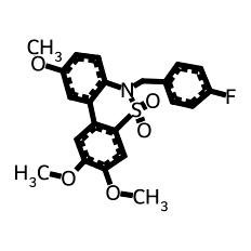 COc1ccc2c(c1)-c1cc(OC)c(OC)cc1S(=O)(=O)N2Cc1ccc(F)cc1